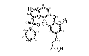 O=C(O)COc1cc(Cl)c(Oc2ccc3[nH]cc(S(=O)(=O)c4ccncc4)c3c2)c(Cl)c1